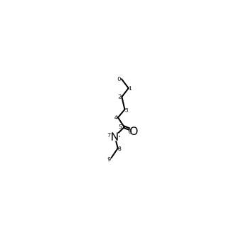 CCCCCC(=O)[N]CC